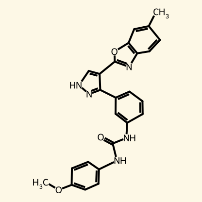 COc1ccc(NC(=O)Nc2cccc(-c3n[nH]cc3-c3nc4ccc(C)cc4o3)c2)cc1